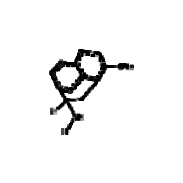 CCNC1(CC)Cc2c(OC)ccc3ccc1cc23